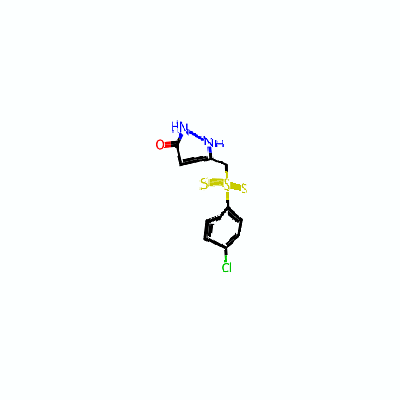 O=c1cc(CS(=S)(=S)c2ccc(Cl)cc2)[nH][nH]1